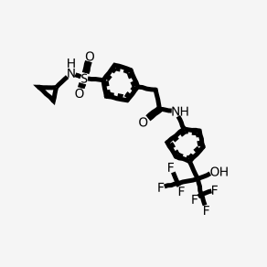 O=C(Cc1ccc(S(=O)(=O)NC2CC2)cc1)Nc1ccc(C(O)(C(F)(F)F)C(F)(F)F)cc1